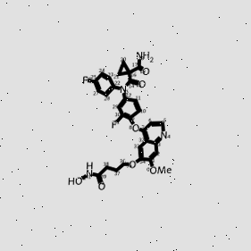 COc1cc2nccc(Oc3ccc(N(C(=O)C4(C(N)=O)CC4)c4ccc(F)cc4)cc3F)c2cc1OCCCC(=O)NO